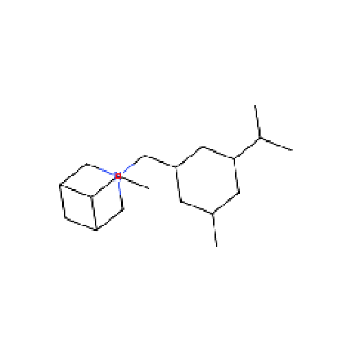 CCC1C2CC1CN(CC1CC(C)CC(C(C)C)C1)C2